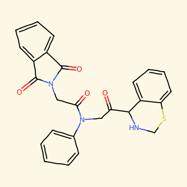 O=C(CN(C(=O)CN1C(=O)c2ccccc2C1=O)c1ccccc1)C1NCSc2ccccc21